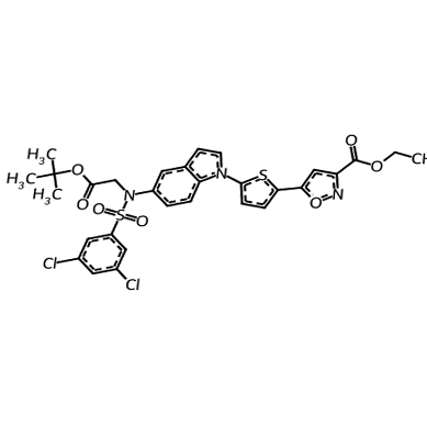 CCOC(=O)c1cc(-c2ccc(-n3ccc4cc(N(CC(=O)OC(C)(C)C)S(=O)(=O)c5cc(Cl)cc(Cl)c5)ccc43)s2)on1